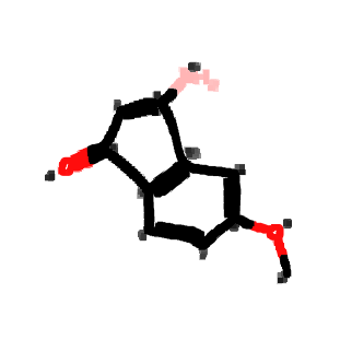 BC1=CC(=O)c2ccc(OC)cc21